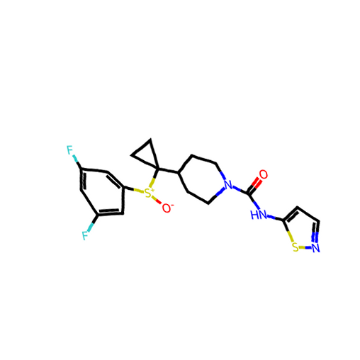 O=C(Nc1ccns1)N1CCC(C2([S+]([O-])c3cc(F)cc(F)c3)CC2)CC1